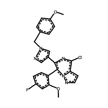 COc1ccc(Cn2cc(-c3nc(Cl)c4ccnn4c3-c3ccc(F)cc3OC)cn2)cc1